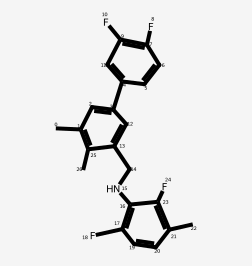 Cc1cc(-c2ccc(F)c(F)c2)cc(CNc2c(F)ccc(C)c2F)c1C